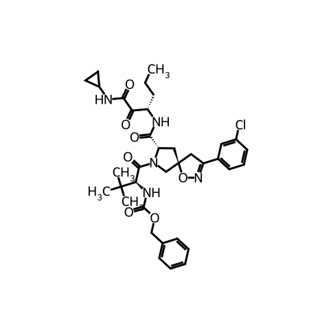 CCC[C@H](NC(=O)[C@@H]1C[C@]2(CC(c3cccc(Cl)c3)=NO2)CN1C(=O)[C@@H](NC(=O)OCc1ccccc1)C(C)(C)C)C(=O)C(=O)NC1CC1